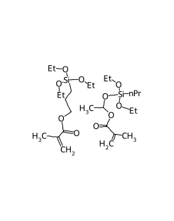 C=C(C)C(=O)OC(C)O[Si](CCC)(OCC)OCC.C=C(C)C(=O)OCCC[Si](OCC)(OCC)OCC